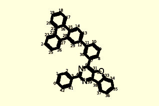 c1ccc(-c2nc(-c3cccc(-c4ccc5c6ccccc6c6ccccc6c5c4)c3)c3oc4ccccc4c3n2)cc1